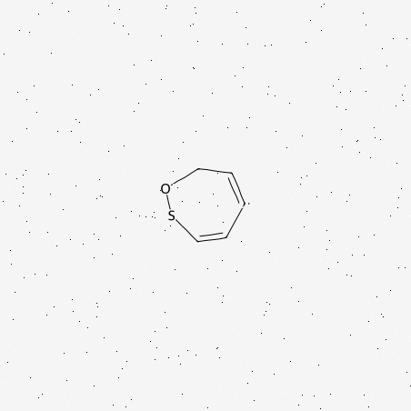 [C]1=CCOSC=C1